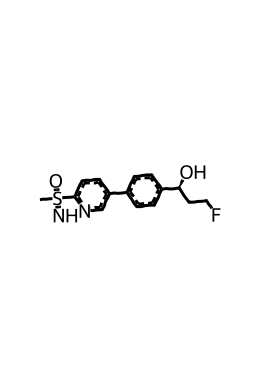 CS(=N)(=O)c1ccc(-c2ccc([C@@H](O)CCF)cc2)cn1